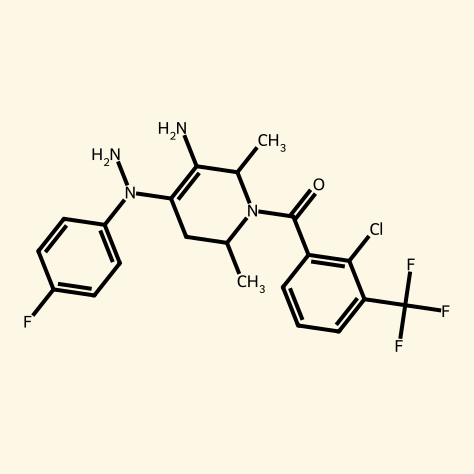 CC1CC(N(N)c2ccc(F)cc2)=C(N)C(C)N1C(=O)c1cccc(C(F)(F)F)c1Cl